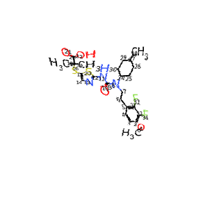 COc1ccc(CCN(C(=O)Nc2ncc(SC(C)(C)C(=O)O)s2)[C@H]2CC[C@H](C)CC2)c(F)c1F